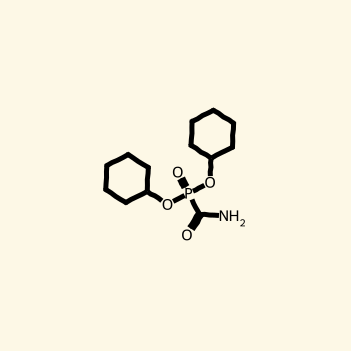 NC(=O)P(=O)(OC1CCCCC1)OC1CCCCC1